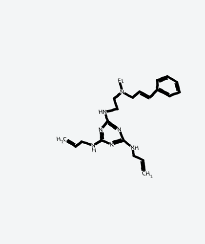 C=CCNc1nc(NCC=C)nc(NCCN(CC)CC=Cc2ccccc2)n1